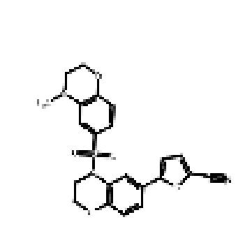 CN1CCOc2ccc(S(=O)(=O)N3CCOc4ccc(-c5ccc(C#N)s5)cc43)cc21